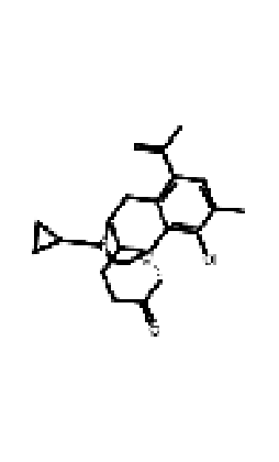 C=C(C)c1cc(C)c(O)c2c1CC1C3CCC(=O)C[C@@]23CCN1C1CC1